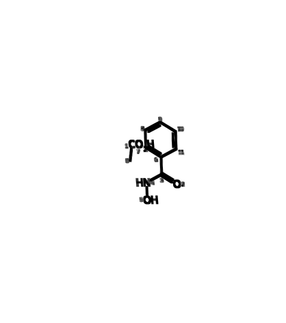 CC(=O)O.O=C(NO)c1ccccc1